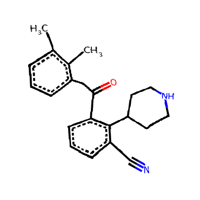 Cc1cccc(C(=O)c2cccc(C#N)c2C2CCNCC2)c1C